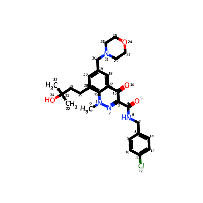 Cn1nc(C(=O)NCc2ccc(Cl)cc2)c(=O)c2cc(CN3CCOCC3)cc(CCC(C)(C)O)c21